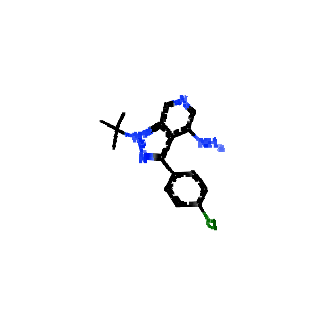 CC(C)(C)n1nc(-c2ccc(Cl)cc2)c2c(N)cncc21